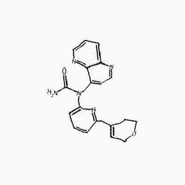 NC(=O)N(c1cccc(C2=CCOCC2)n1)c1ccnc2cccnc12